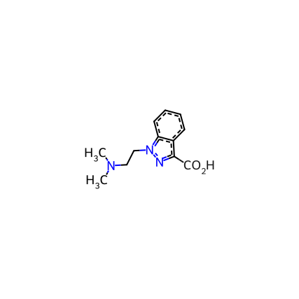 CN(C)CCn1nc(C(=O)O)c2ccccc21